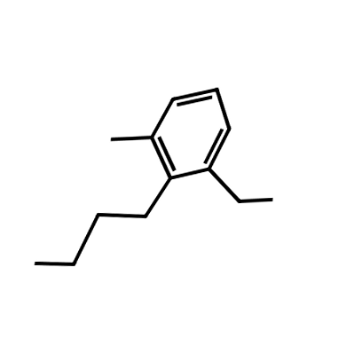 CCCCc1c(C)cccc1CC